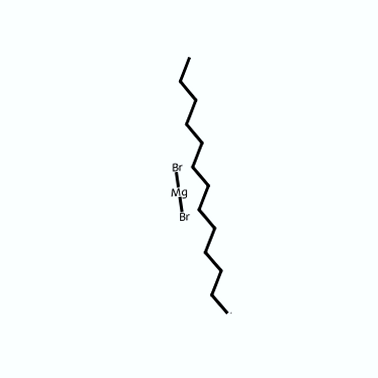 [Br][Mg][Br].[CH2]CCCCCCCCCCCC